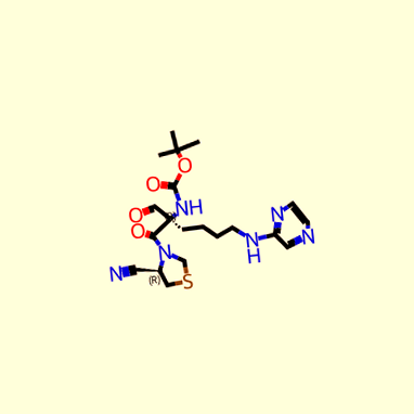 CC(C)(C)OC(=O)N[C@@](C=O)(CCCCNc1cnccn1)C(=O)N1CSC[C@H]1C#N